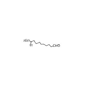 CCCCCCCCC(CC)CCCCCCCCC=O